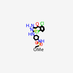 COCCS(=O)(=O)NC1CCC(Nc2nc(N)c(C(=O)c3c(Cl)cccc3Cl)s2)CC1